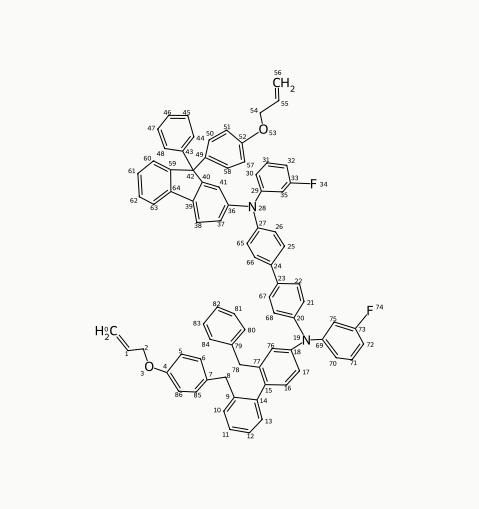 C=CCOc1ccc(Cc2ccccc2-c2ccc(N(c3ccc(-c4ccc(N(c5cccc(F)c5)c5ccc6c(c5)C(c5ccccc5)(c5ccc(OCC=C)cc5)c5ccccc5-6)cc4)cc3)c3cccc(F)c3)cc2Cc2ccccc2)cc1